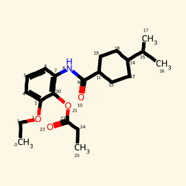 CCOc1cccc(NC(=O)C2CCC(C(C)C)CC2)c1OC(=O)CC